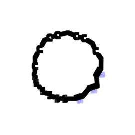 C1=C\SSSSSSCCCCCCCCCCCC/C=C/C=C/1